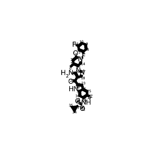 Cc1cc(Oc2c(F)cccc2F)ncc1-n1ncc(C(=O)c2cc3cc(F)c(NS(=O)(=O)C4CC4)cc3[nH]2)c1N